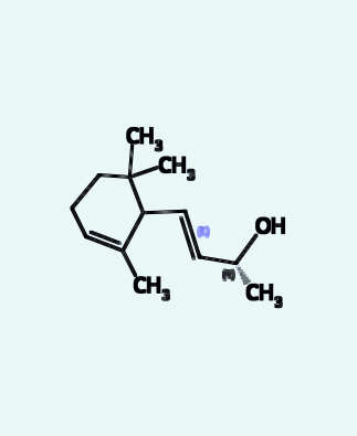 CC1=CCCC(C)(C)C1/C=C/[C@@H](C)O